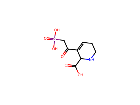 O=C(CP(=O)(O)O)C1=CCCNC1C(=O)O